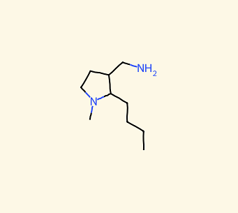 CCCCC1C(CN)CCN1C